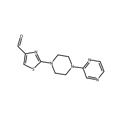 O=Cc1csc(N2CCN(c3cnccn3)CC2)n1